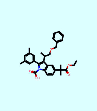 CCOC(=O)C(C)(C)c1ccc2c(c1)c(C(C)COCc1ccccc1)c(-c1cc(C)cc(C)c1)n2C(=O)O